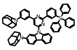 c1ccc([Si](c2ccccc2)(c2ccccc2)c2cccc(-c3nc(-c4cccc(N5C6CC7CC(C6)CC5C7)c4)cc(-n4c5ccccc5c5ccc(N6C7CC8CC(C7)CC6C8)cc54)n3)c2)cc1